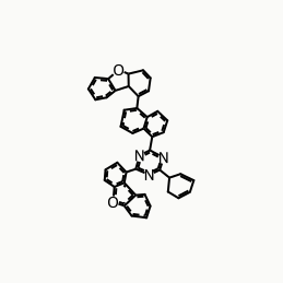 C1=CCC(c2nc(-c3cccc4c(C5=CC=CC6Oc7ccccc7C56)cccc34)nc(-c3cccc4oc5ccccc5c34)n2)C=C1